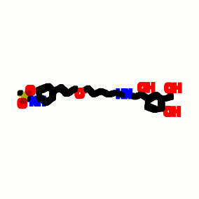 CS(=O)(=O)Nc1ccc(C=CCOCCCCCCNCC(O)c2ccc(O)c(CO)c2)cc1